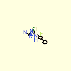 N#Cc1cnn2c(NCc3ccc(-c4ccccc4)cc3F)cc(Cl)nc12